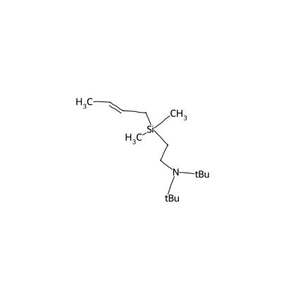 CC=CC[Si](C)(C)CCN(C(C)(C)C)C(C)(C)C